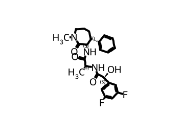 C[C@H](NC(=O)[C@@H](O)c1cc(F)cc(F)c1)C(=O)N[C@@H]1C(=O)N(C)CCC[C@@H]1c1ccccc1